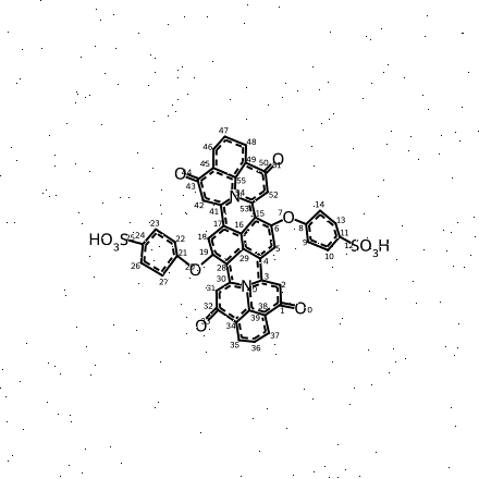 O=c1cc2c3cc(Oc4ccc(S(=O)(=O)O)cc4)c4c5c(cc(Oc6ccc(S(=O)(=O)O)cc6)c(c35)c3cc(=O)c5cccc1c5n23)c1cc(=O)c2cccc3c(=O)cc4n1c23